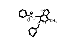 Cc1nc(OCc2ccccc2)c(COS(=O)(=O)c2ccccc2)c2[nH]ccc12